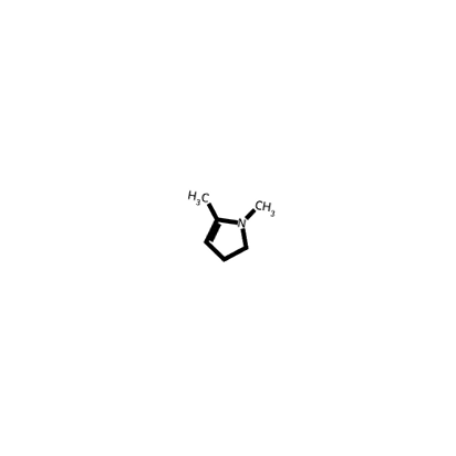 CC1=CCCN1C